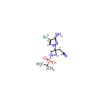 CC(C)S(=O)(=O)N1CC(CC#N)(n2cc(Br)c(N)n2)C1